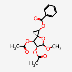 COC1O[C@@]2(C[C@H]2OC(=O)c2ccccc2)[C@H](OC(C)=O)[C@@H]1OC(C)=O